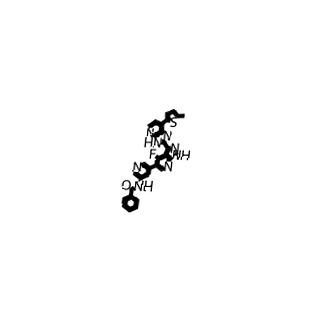 Cc1ccc(-c2ccnc3[nH]c(-c4n[nH]c5ncc(-c6cncc(NC(=O)c7ccccc7)c6)c(F)c45)nc23)s1